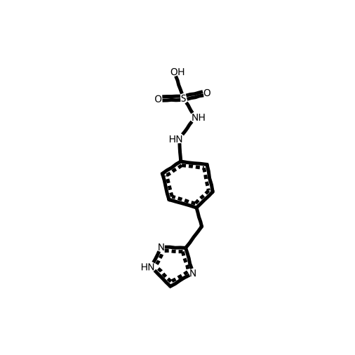 O=S(=O)(O)NNc1ccc(Cc2nc[nH]n2)cc1